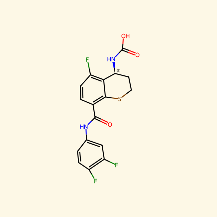 O=C(O)N[C@H]1CCSc2c(C(=O)Nc3ccc(F)c(F)c3)ccc(F)c21